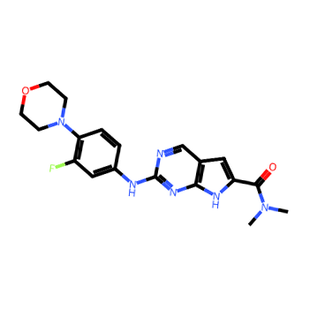 CN(C)C(=O)c1cc2cnc(Nc3ccc(N4CCOCC4)c(F)c3)nc2[nH]1